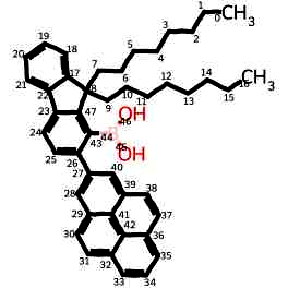 CCCCCCCCC1(CCCCCCCC)c2ccccc2-c2ccc(-c3cc4ccc5cccc6ccc(c3)c4c56)c(B(O)O)c21